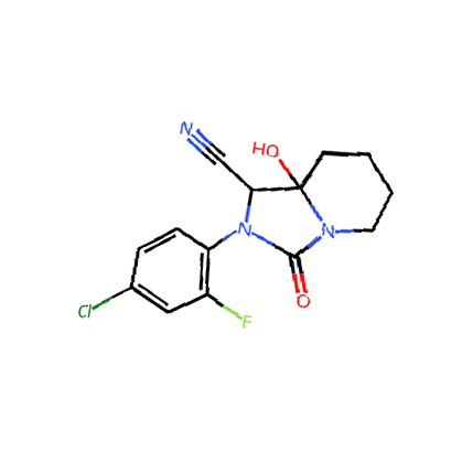 N#CC1N(c2ccc(Cl)cc2F)C(=O)N2CCCCC12O